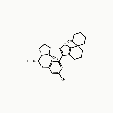 C[C@H](Oc1cc(C#N)nc(-c2noc3c2CCC[C@@]32CCCCC2=O)n1)[C@@H]1CCCN1C